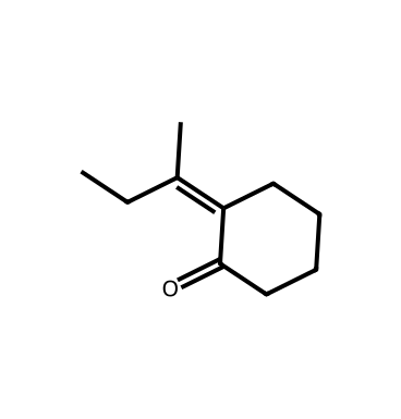 CCC(C)=C1CCCCC1=O